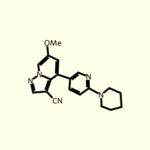 COc1cc(-c2ccc(N3CCCCC3)nc2)c2c(C#N)cnn2c1